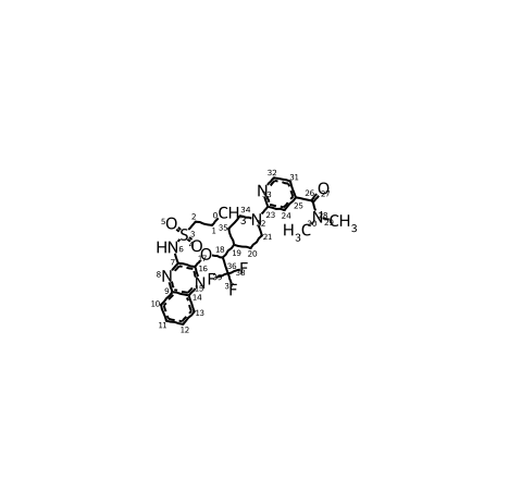 CCCS(=O)(=O)Nc1nc2ccccc2nc1OC(C1CCN(c2cc(C(=O)N(C)C)ccn2)CC1)C(F)(F)F